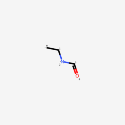 [CH2]C[N]C=O